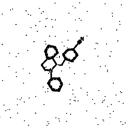 N#Cc1ccc(C[C@H]2c3ccccc3CCN2c2ccccc2)cc1